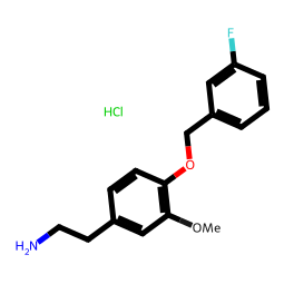 COc1cc(CCN)ccc1OCc1cccc(F)c1.Cl